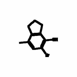 Cc1cc(Br)c(O)c2c1CCC2